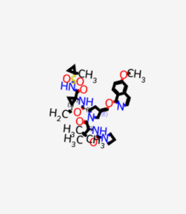 C=C[C@@H]1C[C@]1(NC(=O)[C@@H]1C/C(=C\Oc2nccc3cc(OC)ccc23)CN1C(=O)[C@@H](NC(=O)N1CCC1)C(C)(C)C)C(=O)NS(=O)(=O)C1(C)CC1